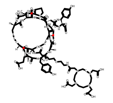 C[C@@H]1NC(=O)[C@@H]2CCCN2C(=O)[C@H](CC(N)=O)NC(=O)[C@@H]2CSSC[C@H](NC(=O)COCCOCCNC(=O)CN3CCN(CC(=O)O)CCN(CC(=O)O)CCN(CC(=O)O)CC3)C(=O)N[C@H]3CSSC[C@H](NC1=O)C(=O)N[C@@H]([C@@H](C)O)C(=O)NCC(=O)N[C@H](C(=O)N[C@]1(Cc4ccc(O)cc4)OC1=O)CSSC[C@H](NC(=O)[C@H](Cc1ccc(O)cc1)NC(=O)[C@H](CCC(=O)O)NC3=O)C(=O)N2